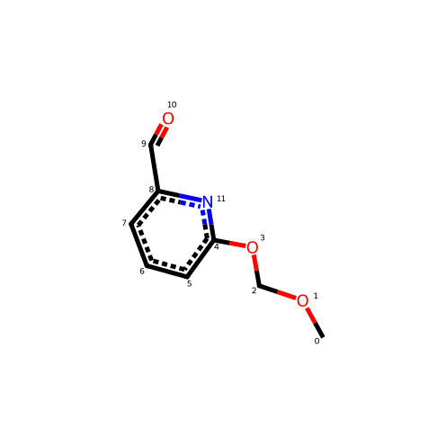 COCOc1cccc(C=O)n1